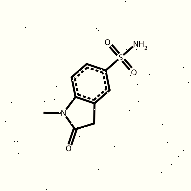 CN1C(=O)Cc2cc(S(N)(=O)=O)ccc21